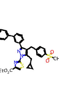 CCOC(=O)c1csc(-n2nc(-c3cccc(-c4ccccc4)c3)c(Cc3ccc(S(C)(=O)=O)cc3)c2CC2CC2)n1